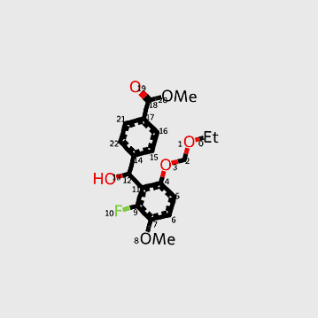 CCOCOc1ccc(OC)c(F)c1C(O)c1ccc(C(=O)OC)cc1